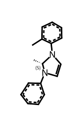 Cc1ccccc1N1C=CN(c2ccccc2)[C@@H]1C